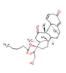 CCCC(=O)O[C@]1(C(=O)CO)CC[C@H]2[C@@H]3CCC4=CC(=O)C=C[C@]4(C)[C@H]3C(=O)C[C@@]21C